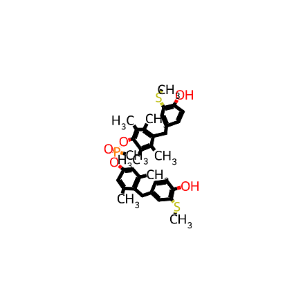 CSc1cc(Cc2c(C)cc(OP(C)(=O)Oc3c(C)c(C)c(Cc4ccc(O)c(SC)c4)c(C)c3C)cc2C)ccc1O